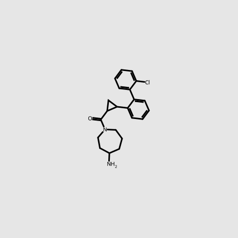 NC1CCCN(C(=O)C2CC2c2ccccc2-c2ccccc2Cl)CC1